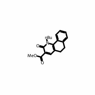 CCCCn1c2c(cc(C(=O)OC)c1=O)CCc1ccccc1-2